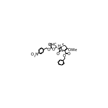 COC1=C(C(=O)OCc2ccccc2)N2C(=O)[C@H](C(C=O)OC(=O)OCc3ccc([N+](=O)[O-])cc3)[C@@H]2SC1